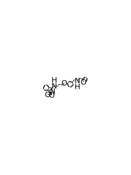 O=S1(=O)N=C(NCCCOc2cccc(CNCc3ccco3)c2)c2ccccc21